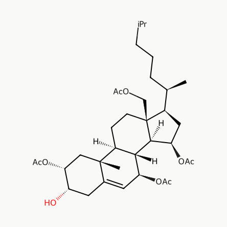 CC(=O)OC[C@]12CC[C@H]3[C@H]([C@@H]1[C@H](OC(C)=O)C[C@@H]2[C@H](C)CCCC(C)C)[C@@H](OC(C)=O)C=C1C[C@H](O)[C@H](OC(C)=O)C[C@@]13C